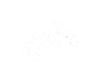 c1ccc2c(c1)-c1ccccc1-c1ccc(-c3c4ccccc4c(-n4c5ccccc5c5cc6oc7ccccc7c6cc54)c4ccccc34)cc1-c1ccccc1-2